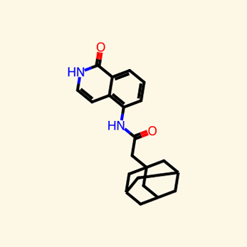 O=C(CC12CC3CC(CC(C3)C1)C2)Nc1cccc2c(=O)[nH]ccc12